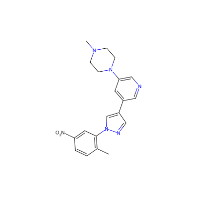 Cc1ccc([N+](=O)[O-])cc1-n1cc(-c2cncc(N3CCN(C)CC3)c2)cn1